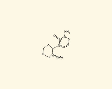 CO[C@H]1COCCC1n1cccc(N)c1=O